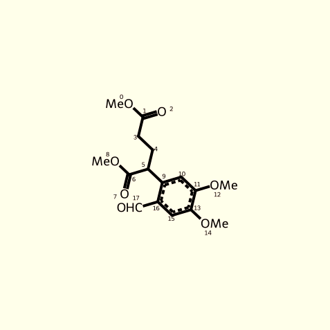 COC(=O)CCC(C(=O)OC)c1cc(OC)c(OC)cc1C=O